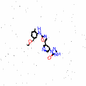 CCOCc1ccc(C)c(Nc2ncc(-c3cncc(-n4nc[nH]c4=O)c3)o2)c1